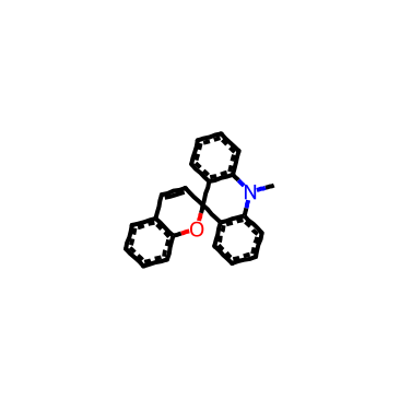 CN1c2ccccc2C2(C=Cc3ccccc3O2)c2ccccc21